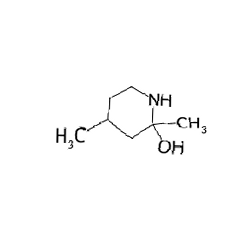 CC1CCNC(C)(O)C1